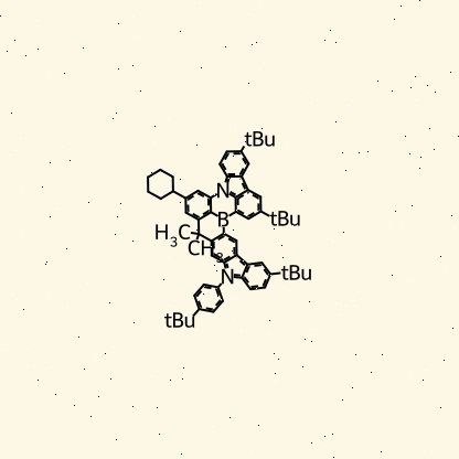 CC(C)(C)c1ccc(-n2c3ccc(C(C)(C)C)cc3c3cc4c(cc32)C(C)(C)c2cc(C3CCCCC3)cc3c2B4c2cc(C(C)(C)C)cc4c5cc(C(C)(C)C)ccc5n-3c24)cc1